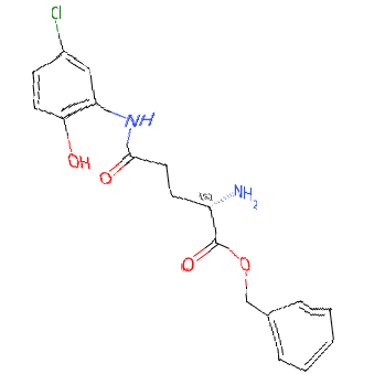 N[C@@H](CCC(=O)Nc1cc(Cl)ccc1O)C(=O)OCc1ccccc1